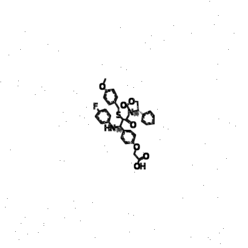 COc1ccc(CSC(C(=O)N2C(=O)OC[C@@H]2c2ccccc2)[C@H](Nc2ccc(F)cc2)c2ccc(OCC(=O)O)cc2)cc1